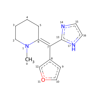 CN1CCCC/C1=C(/c1ccoc1)c1ncc[nH]1